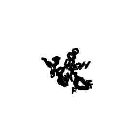 CCCN(CCC)C(=O)c1cc(C(=O)N(Cc2cccc(OC)c2)C[C@@H](O)[C@@H](N)Cc2cc(F)cc(F)c2)cc(-c2ncco2)c1